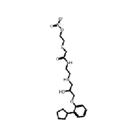 O=C(CSCCO[N+](=O)[O-])NCCNCC(O)COc1ccccc1C1CCCC1